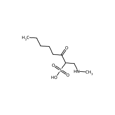 CCCCCC(=O)C(CNC)S(=O)(=O)O